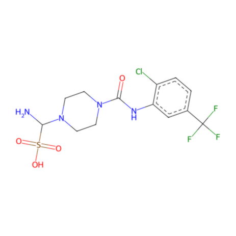 NC(N1CCN(C(=O)Nc2cc(C(F)(F)F)ccc2Cl)CC1)S(=O)(=O)O